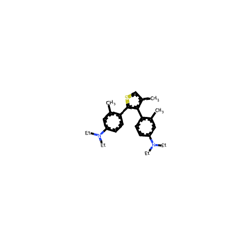 CCN(CC)c1ccc(-c2s[c]c(C)c2-c2ccc(N(CC)CC)cc2C)c(C)c1